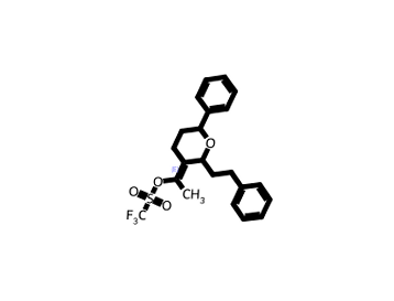 C/C(OS(=O)(=O)C(F)(F)F)=C1/CCC(c2ccccc2)OC1CCc1ccccc1